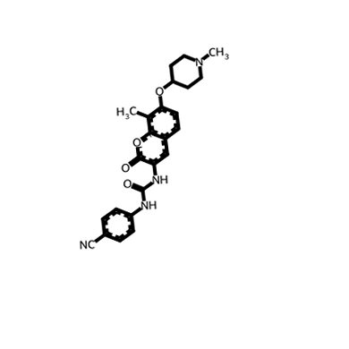 Cc1c(OC2CCN(C)CC2)ccc2cc(NC(=O)Nc3ccc(C#N)cc3)c(=O)oc12